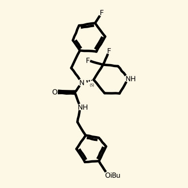 CC(C)COc1ccc(CNC(=O)N(Cc2ccc(F)cc2)[C@H]2CCNCC2(F)F)cc1